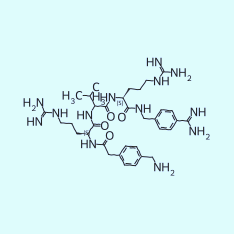 CC(C)C(NC(=O)[C@H](CCCNC(=N)N)NC(=O)Cc1ccc(CN)cc1)C(=O)N[C@@H](CCCNC(=N)N)C(=O)NCc1ccc(C(=N)N)cc1